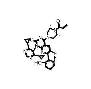 C=CC(=O)N1[C@H](C)CN(c2nc(=O)n(-c3c(C4CC4)ncnc3C3CC3)c3nc(-c4c(O)cccc4F)c(F)cc23)C[C@@H]1C